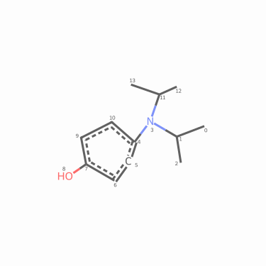 CC(C)N(c1ccc(O)cc1)C(C)C